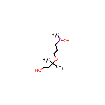 CP(O)CCCOC(C)(C)CCO